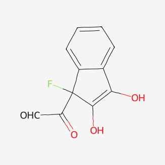 O=CC(=O)C1(F)C(O)=C(O)c2ccccc21